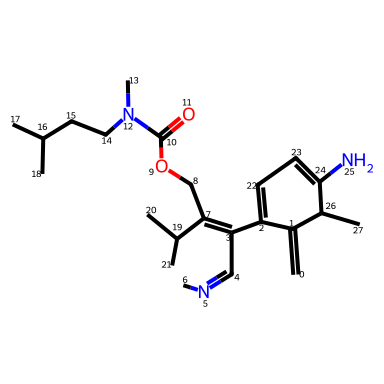 C=C1C(C(/C=N\C)=C(\COC(=O)N(C)CCC(C)C)C(C)C)=CC=C(N)C1C